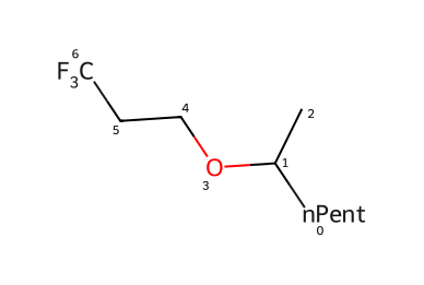 CCCCCC(C)OCCC(F)(F)F